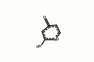 [CH2]CCc1cc(=O)cc[nH]1